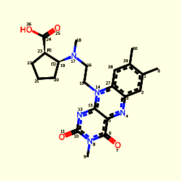 Cc1cc2nc3c(=O)n(C)c(=O)nc-3n(CCN(C)[C@H]3CCC[C@H]3C(=O)O)c2cc1C